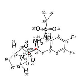 N[C@@H](Cc1cc(F)c(F)cc1F)[C@@H]1C[C@H]2CC[C@@H](C1)N2S(=O)(=O)CCNS(=O)(=O)C1CC1